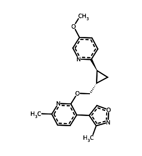 COc1ccc([C@H]2C[C@@H]2COc2nc(C)ccc2-c2conc2C)nc1